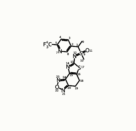 CC(c1ccc(C(F)(F)F)nc1)S(C)(=O)=Nc1nc2c(s1)CCc1nonc1-2